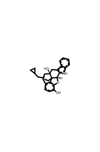 Oc1ccc2c3c1O[C@H]1c4[nH]c5ccccc5c4C[C@@]4(O)C(C2)N(CC2CC2)CCC314